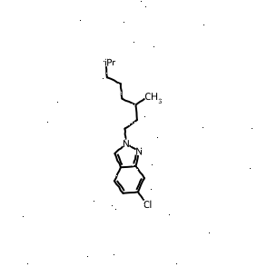 CC(C)CCCC(C)CCn1cc2ccc(Cl)cc2n1